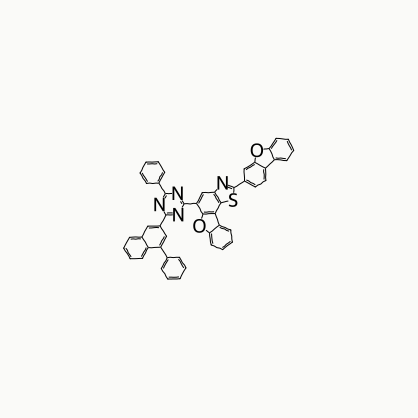 c1ccc(-c2nc(-c3cc(-c4ccccc4)c4ccccc4c3)nc(-c3cc4nc(-c5ccc6c(c5)oc5ccccc56)sc4c4c3oc3ccccc34)n2)cc1